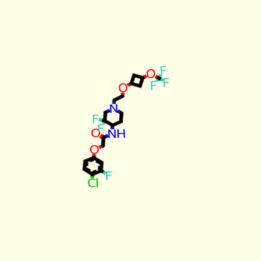 O=C(COc1ccc(Cl)c(F)c1)NC1CCN(CCOC2CC(OC(F)(F)F)C2)CC1(F)F